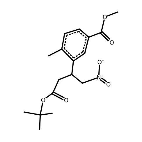 COC(=O)c1ccc(C)c(C(CC(=O)OC(C)(C)C)C[N+](=O)[O-])c1